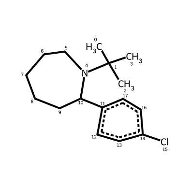 CC(C)(C)N1CCCCCC1c1ccc(Cl)cc1